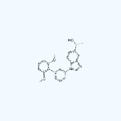 COc1cccc(OC)c1-c1cccc(-n2cnc3cc([C@@H](C)O)ccc32)c1